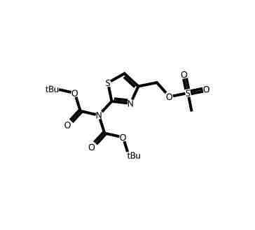 CC(C)(C)OC(=O)N(C(=O)OC(C)(C)C)c1nc(COS(C)(=O)=O)cs1